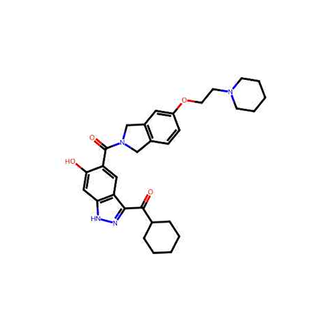 O=C(c1n[nH]c2cc(O)c(C(=O)N3Cc4ccc(OCCN5CCCCC5)cc4C3)cc12)C1CCCCC1